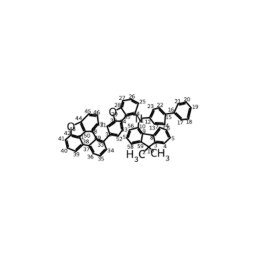 CC1(C)c2ccccc2-c2c(N(c3ccc(-c4ccccc4)cc3)c3cccc4oc5cc(-c6cccc7c8cccc9oc%10cccc(c67)c%10c98)ccc5c34)cccc21